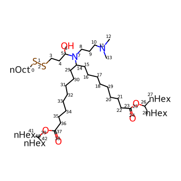 CCCCCCCCSSCCC(O)N(CCCN(C)C)C(CCCCCCCCC(=O)OC(CCCCCC)CCCCCC)CCCCCCCCC(=O)OC(CCCCCC)CCCCCC